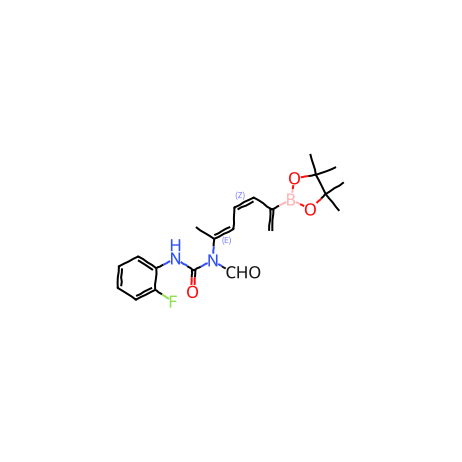 C=C(/C=C\C=C(/C)N(C=O)C(=O)Nc1ccccc1F)B1OC(C)(C)C(C)(C)O1